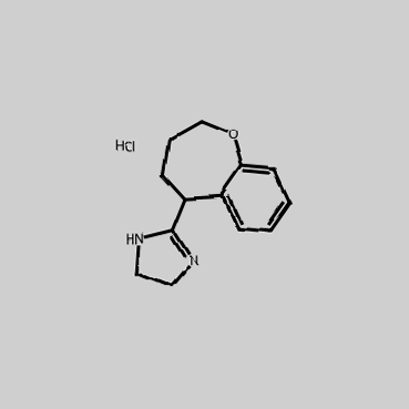 Cl.c1ccc2c(c1)OCCCC2C1=NCCN1